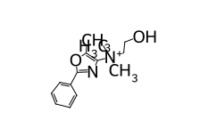 Cc1oc(-c2ccccc2)nc1[N+](C)(C)CCO